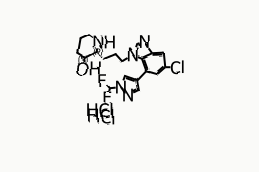 Cl.Cl.O[C@H]1CCCN[C@@H]1CCCn1cnc2cc(Cl)cc(-c3cnn(C(F)F)c3)c21